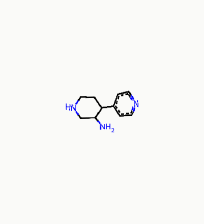 NC1CNCCC1c1ccncc1